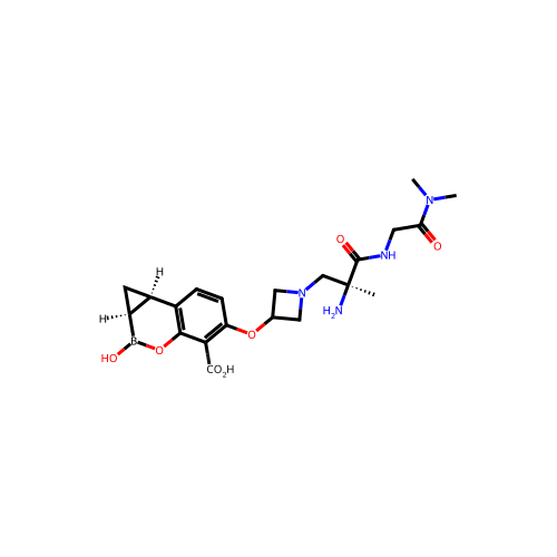 CN(C)C(=O)CNC(=O)[C@@](C)(N)CN1CC(Oc2ccc3c(c2C(=O)O)OB(O)[C@H]2C[C@@H]32)C1